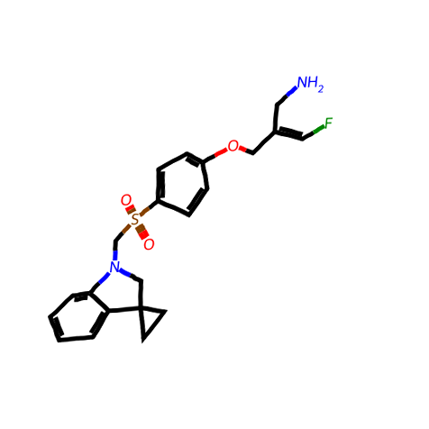 NC/C(=C\F)COc1ccc(S(=O)(=O)CN2CC3(CC3)c3ccccc32)cc1